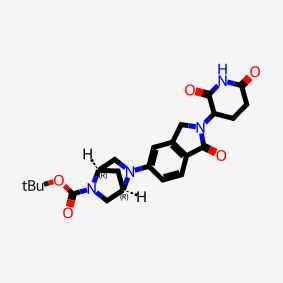 CC(C)(C)OC(=O)N1C[C@H]2C[C@@H]1CN2c1ccc2c(c1)CN(C1CCC(=O)NC1=O)C2=O